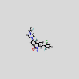 CC(F)CN1CCN(c2ccc3c(=O)[nH]c4cc(-c5c(F)cccc5Cl)ccc4c3c2F)CC1